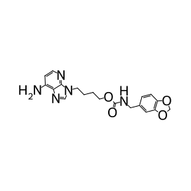 Nc1ccnc2c1ncn2CCCCOC(=O)NCc1ccc2c(c1)OCO2